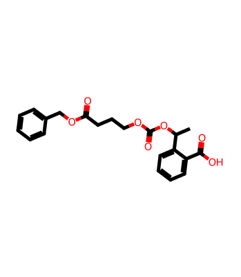 CC(OC(=O)OCCCC(=O)OCc1ccccc1)c1ccccc1C(=O)O